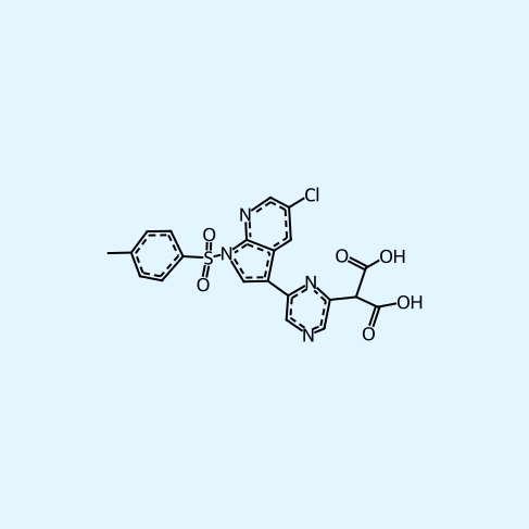 Cc1ccc(S(=O)(=O)n2cc(-c3cncc(C(C(=O)O)C(=O)O)n3)c3cc(Cl)cnc32)cc1